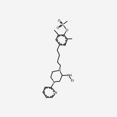 CCNC1CN(c2ccccn2)CCN1CCCCc1cc(C)c(OS(C)(=O)=O)c(C)c1